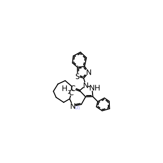 C=C1C(/C=N\C2CCCCCCC2)=C(c2ccccc2)NN1c1nc2ccccc2s1